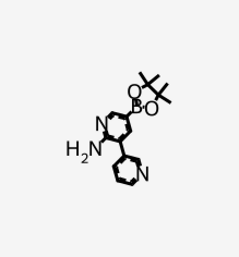 CC1(C)OB(c2cnc(N)c(-c3cccnc3)c2)OC1(C)C